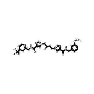 COc1cccc(CNC(=O)c2cn(CCC(F)Cn3cc(C(=O)NCC4=NC=CC(C(F)(F)F)C4)nn3)nn2)c1